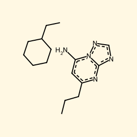 CCC1CCCCC1.CCCc1cc(N)n2ncnc2n1